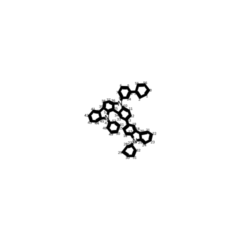 c1ccc(-c2cccc(-n3c4ccc(-c5ccc6c(c5)c5ccccc5n6-c5ccccc5)cc4c4c3ccc3c5ccccc5n(-c5ccccc5)c34)c2)cc1